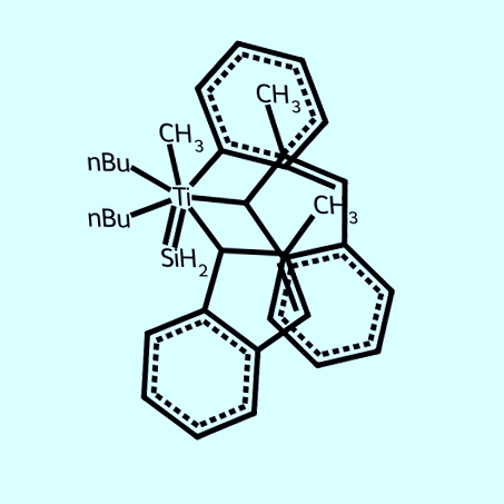 CCC[CH2][Ti]([CH3])(=[SiH2])([CH2]CCC)([c]1ccccc1)([CH]1C(C)=Cc2ccccc21)[CH]1C(C)=Cc2ccccc21